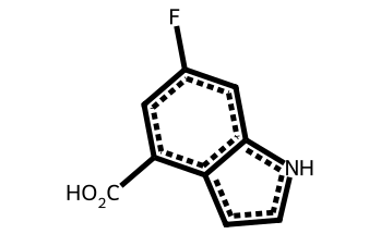 O=C(O)c1cc(F)cc2[nH]ccc12